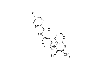 CN1SC2OCCC[C@]2(c2cc(NC(=O)c3ccc(F)cn3)ccc2F)NC1=N